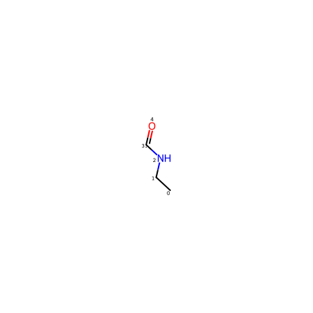 CCN[C]=O